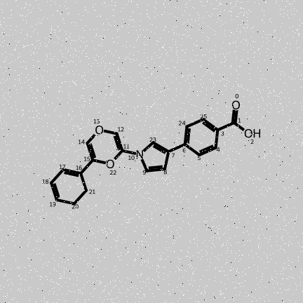 O=C(O)c1ccc(-c2ccn(C3=COC=C(C4=CC=CCC4)O3)c2)cc1